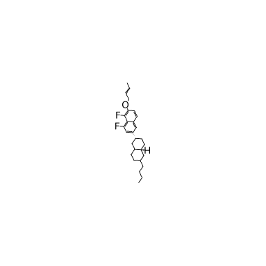 C/C=C/COc1ccc2cc([C@@H]3CC[C@@H]4CC(CCCC)CCC4C3)cc(F)c2c1F